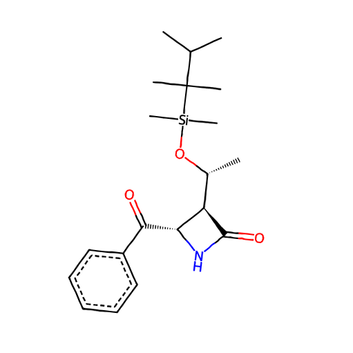 CC(C)C(C)(C)[Si](C)(C)O[C@H](C)[C@H]1C(=O)N[C@@H]1C(=O)c1ccccc1